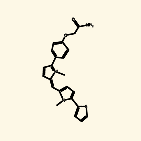 Cn1c(/C=C2/C=CC(c3ccc(OCC(N)=O)cc3)=[N+]2C)ccc1-c1cccs1